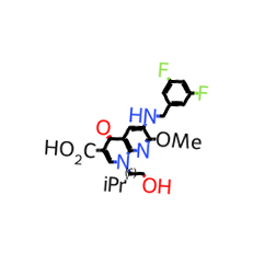 COc1nc2c(cc1NCc1cc(F)cc(F)c1)c(=O)c(C(=O)O)cn2[C@H](CO)C(C)C